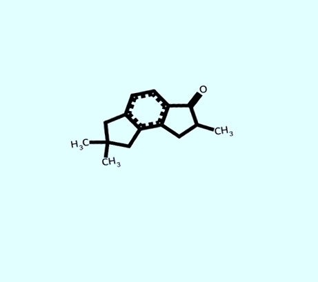 CC1Cc2c(ccc3c2CC(C)(C)C3)C1=O